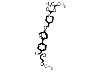 COCCS(=O)(=O)c1ccc(-c2ccc(OCC3CCN(C(=O)OC(C)C)CC3)cn2)cc1